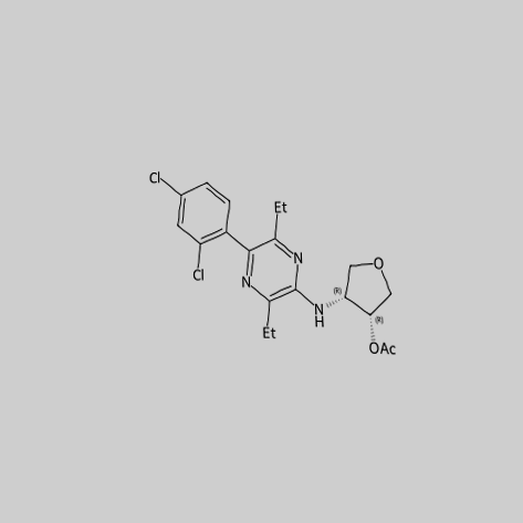 CCc1nc(-c2ccc(Cl)cc2Cl)c(CC)nc1N[C@@H]1COC[C@@H]1OC(C)=O